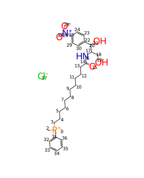 C[P+](C)(CCCCCCCCCCCC(=O)NC(CO)C(O)c1ccc([N+](=O)[O-])cc1)c1ccccc1.[Cl-]